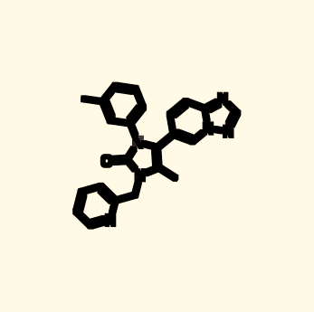 Cc1cccc(-n2c(-c3ccc4ncnn4c3)c(C)n(Cc3ccccn3)c2=O)c1